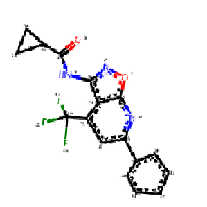 O=C(Nc1noc2nc(-c3ccccc3)cc(C(F)(F)F)c12)C1CC1